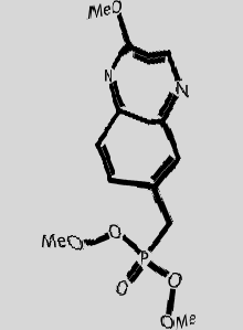 COOP(=O)(Cc1ccc2nc(OC)cnc2c1)OOC